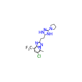 Cc1c(Cl)cc(C(F)(F)F)c2nc(CCC3NN=C(N4CCCC4)N3)nn12